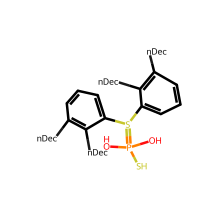 CCCCCCCCCCc1cccc(S(c2cccc(CCCCCCCCCC)c2CCCCCCCCCC)=P(O)(O)S)c1CCCCCCCCCC